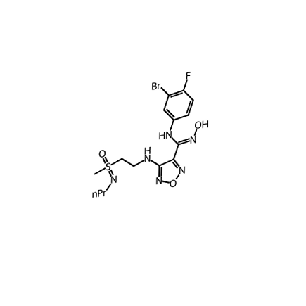 CCCN=S(C)(=O)CCNc1nonc1/C(=N/O)Nc1ccc(F)c(Br)c1